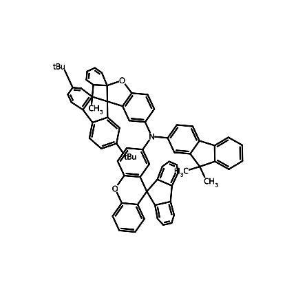 CC1C=CC=CC12Oc1ccc(N(c3ccc4c(c3)C(C)(C)c3ccccc3-4)c3ccc4c(c3)C3(c5ccccc5O4)c4ccccc4-c4ccccc43)cc1C21c2cc(C(C)(C)C)ccc2-c2ccc(C(C)(C)C)cc21